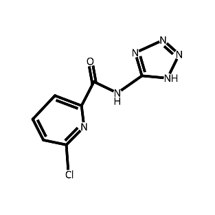 O=C(Nc1nnn[nH]1)c1cccc(Cl)n1